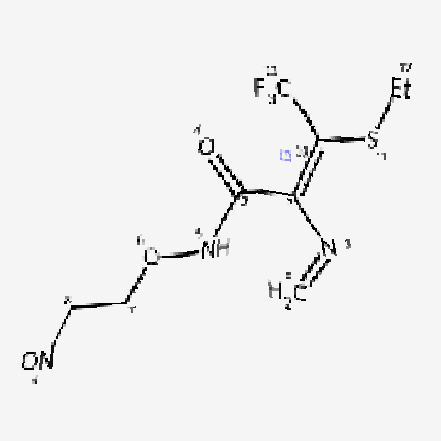 C=N/C(C(=O)NOCCN=O)=C(\SCC)C(F)(F)F